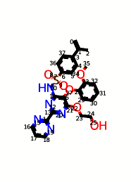 C=C(C)c1ccc(S(=O)(=O)Nc2nc(-c3ncccn3)nc(OCCO)c2Oc2ccccc2OC)cc1